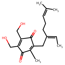 C/C=C(/CCC=C(C)C)CC1=C(C)C(=O)C(CO)=C(CO)C1=O